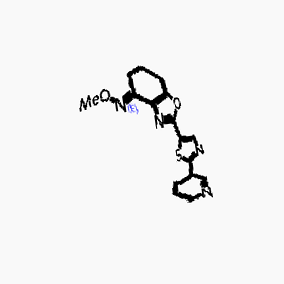 CO/N=C1\CCCc2oc(-c3cnc(-c4cccnc4)s3)nc21